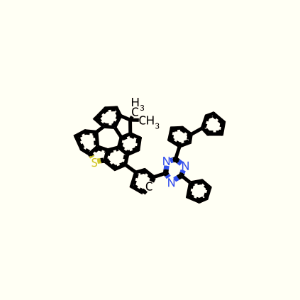 CC1(C)c2cccc3c2-c2c1ccc1c(-c4cccc(-c5nc(-c6ccccc6)nc(-c6cccc(-c7ccccc7)c6)n5)c4)cc4sc5cccc-3c5c4c21